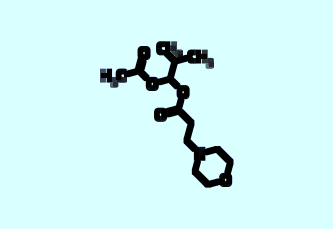 CC(=O)OC(OC(=O)CCN1CCOCC1)C(C)C